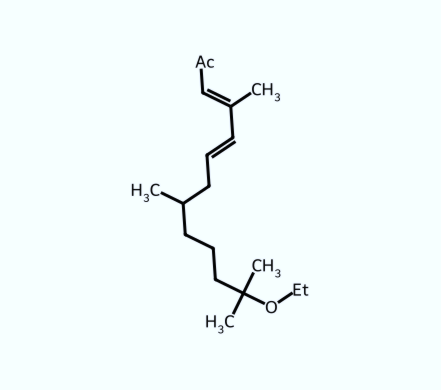 CCOC(C)(C)CCCC(C)CC=CC(C)=CC(C)=O